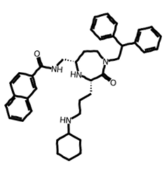 O=C(NC[C@@H]1CCN(CC(c2ccccc2)c2ccccc2)C(=O)[C@H](CCCNC2CCCCC2)N1)c1ccc2ccccc2c1